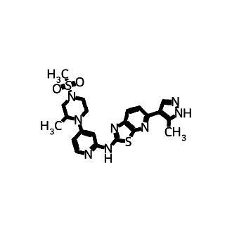 Cc1[nH]ncc1-c1ccc2nc(Nc3cc(N4CCN(S(C)(=O)=O)CC4C)ccn3)sc2n1